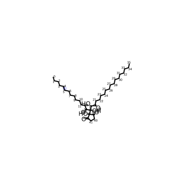 CCCC/C=C/CCCCCCCC(=O)C(O)(C(O)C(=O)CCCCCCCCCCCCCCC)C1(O)C(=O)CCC1=O